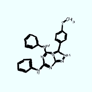 CSc1ccc(C2NN=C3N=C(Nc4ccccc4)N=C(Nc4ccccc4)N32)cc1